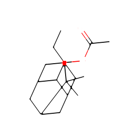 CCC(OC(C)=O)C1C2CC3CC1CC(C2)C3(C)C